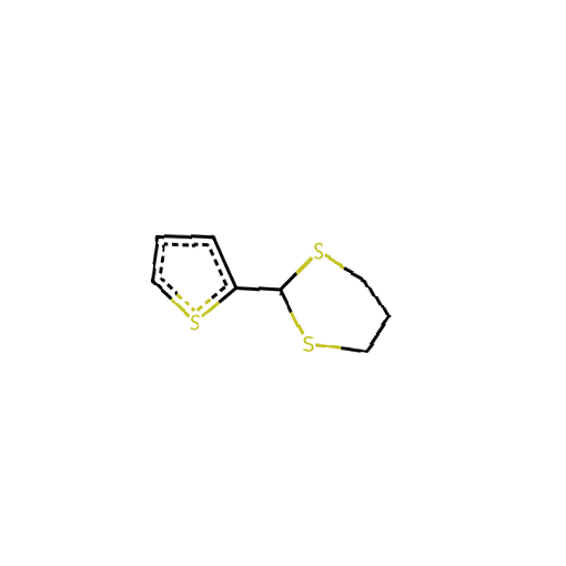 c1csc([C]2SCCCS2)c1